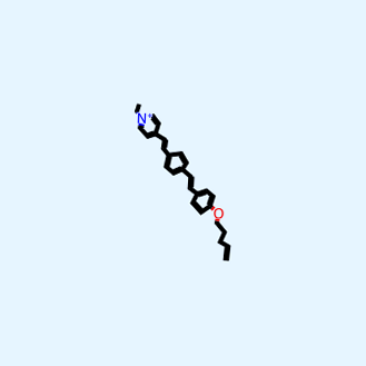 C=CCCCOc1ccc(C=Cc2ccc(C=Cc3cc[n+](CC)cc3)cc2)cc1